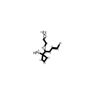 CCCC1(C(C/C=C/I)OCCOCC)CCC1